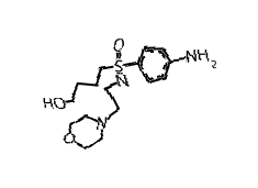 Nc1ccc(S(=O)(CCCCO)=NCCN2CCOCC2)cc1